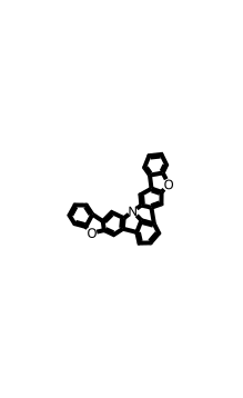 c1ccc2c(c1)oc1cc3c4cccc5c6cc7oc8ccccc8c7cc6n(c3cc12)c45